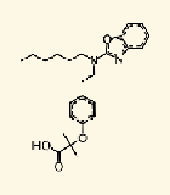 CCCCCCN(CCc1ccc(OC(C)(C)C(=O)O)cc1)c1nc2ccccc2o1